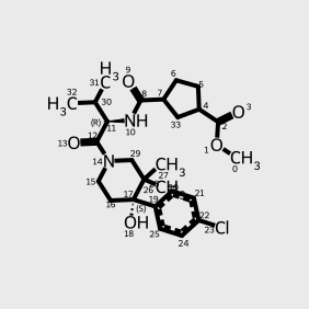 COC(=O)C1CCC(C(=O)N[C@@H](C(=O)N2CC[C@](O)(c3ccc(Cl)cc3)C(C)(C)C2)C(C)C)C1